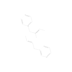 C/C=C(/Cc1ccccc1)O/C(=C\C)Cc1ccccc1